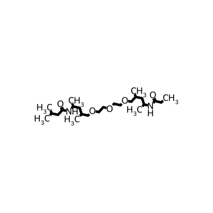 CCC(=O)NC(C)CC(C)COCCOCCOCC(C)CC(C)NC(=O)CC(C)C